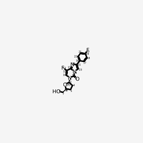 O=c1n([C@H]2CC[C@@H](CO)O2)cc(F)c2nc(-c3ccc(F)cc3)cn12